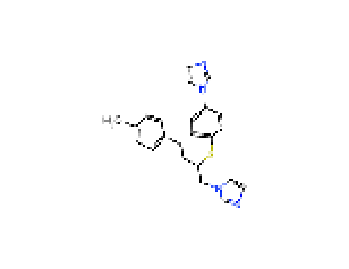 Cc1ccc(CCC(Cn2ccnc2)Sc2ccc(-n3ccnc3)cc2)cc1